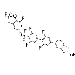 CCCCC1Cc2ccc(-c3cc(F)c(-c4cc(F)c(C(F)(F)Oc5cc(F)c(OC(F)(F)F)c(F)c5)c(F)c4)c(F)c3)cc2C1